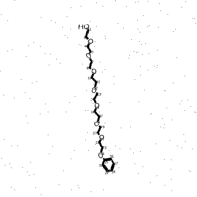 OCCOCCOCCOCCOCCOCCOCCOCCOc1ccccc1